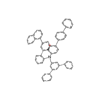 c1ccc(-c2ccc(-c3ccc(N(c4cc(-c5ccccc5)cc(-c5ccccc5)c4)c4ccccc4-c4cccc(-c5cccc6ccccc56)c4)cc3)cc2)cc1